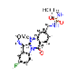 CON=C1c2cc(F)ccc2-n2c1nc1cc(CNS(=O)(=O)NC(=O)O)ccc1c2=O